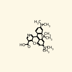 Cc1c(C(=O)O)cncc1C1=C2C=CC(=[N+](C)C)C=C2[Si](C)(C)c2cc(N(C)C)ccc21